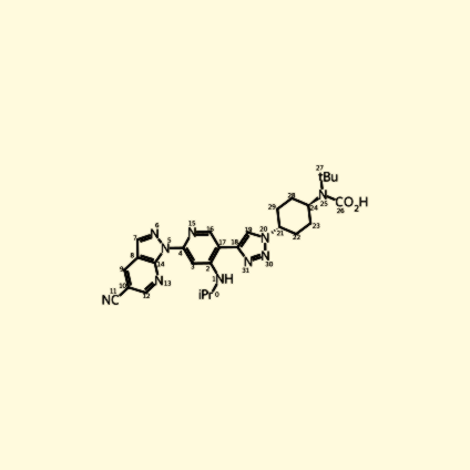 CC(C)Nc1cc(-n2ncc3cc(C#N)cnc32)ncc1-c1cn([C@H]2CC[C@H](N(C(=O)O)C(C)(C)C)CC2)nn1